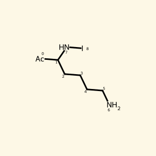 CC(=O)C(CCCCN)NI